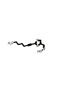 CCCCCC#Cc1nc(/C=N\O)cs1